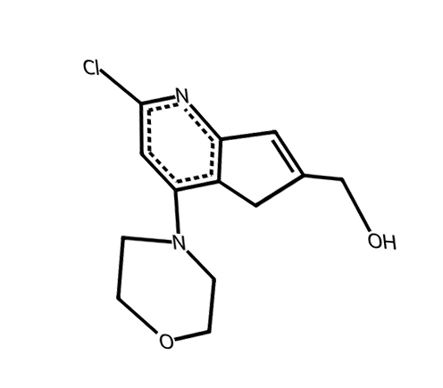 OCC1=Cc2nc(Cl)cc(N3CCOCC3)c2C1